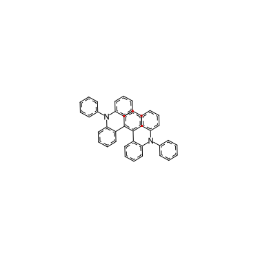 c1ccc(N(c2ccccc2)c2ccccc2-c2ccccc2-c2ccccc2N(c2ccccc2)c2ccccc2)cc1